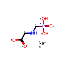 O=C([O-])CNCP(=O)(O)O.[Na+]